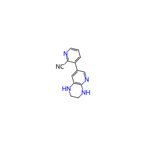 N#Cc1ncccc1-c1cnc2c(c1)NCCN2